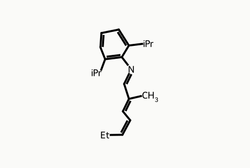 CC\C=C/C=C(C)/C=N/c1c(C(C)C)cccc1C(C)C